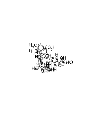 C[C@H]1[C@H](C)CC[C@]2(C(=O)O)CC[C@]3(C)C(=CC[C@@H]4[C@@]5(C)C[C@@H](O)[C@H](O)[C@@](C)(CO)[C@@H]5[C@H](OC(=O)[C@@H](O)[C@@H](O)[C@H](O)[C@@H](O)C=O)C[C@]43C)[C@H]12